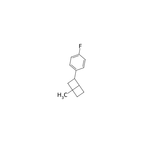 CC12CCC1C(c1ccc(F)cc1)C2